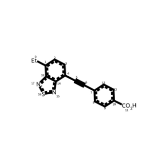 CCc1ccc(C#Cc2ccc(C(=O)O)cc2)c2nsnc12